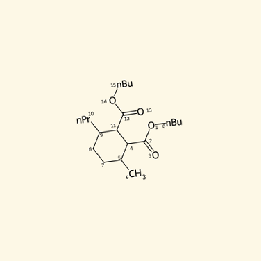 CCCCOC(=O)C1C(C)CCC(CCC)C1C(=O)OCCCC